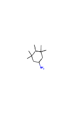 CC1C(C)(C)CC(N)CC1(C)C